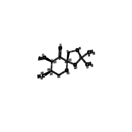 CC(=O)O[C@H]1C(=O)[C@@]2(COC(C)(C)O2)OC[C@H]1C